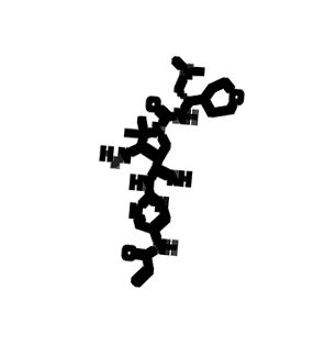 C=CC(=O)Nc1cnc(NC(=N)C2=C(N)C(C)(C)N(C(=O)N[C@H](CN(C)C)C3CCOCC3)C2)nc1